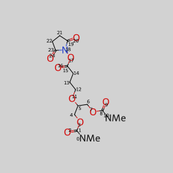 CNC(=O)OCC(COC(=O)NC)OCCCC(=O)ON1C(=O)CCC1=O